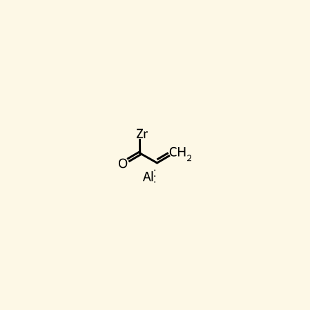 C=C[C](=O)[Zr].[Al]